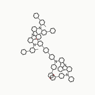 Cc1ccc(-c2ccccc2)cc1N(c1cc(-c2ccccc2)ccc1C)c1cccc2c1c1cccc3c4c(N(c5cc(-c6ccccc6)ccc5C)c5cc(-c6ccc(-c7ccc(N(c8ccc(-c9ccccc9)cc8)c8cccc9c8c8cccc%10c%11c(N(c%12ccccc%12)c%12ccc(-c%13ccccc%13)cc%12)cccc%11n9c%108)cc7)cc6)ccc5C)cccc4n2c13